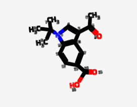 CC(=O)c1cn(C(C)(C)C)c2ccc(C(=O)O)cc12